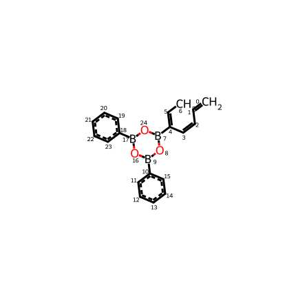 C=C/C=C\C(=C/C)B1OB(c2ccccc2)OB(c2ccccc2)O1